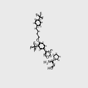 CN1C(c2ccc(OCCCCc3ccc(C(F)(F)F)cc3)c(C(F)(F)F)c2)=NOC1[C@@H]1CCCN1/C(N)=N/O